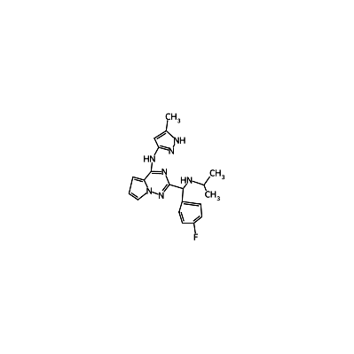 Cc1cc(Nc2nc(C(NC(C)C)c3ccc(F)cc3)nn3cccc23)n[nH]1